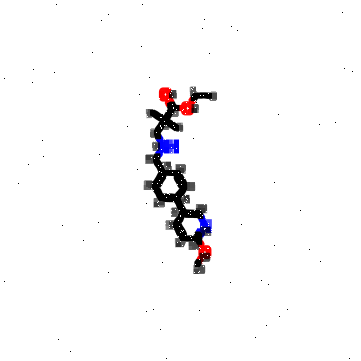 CCOC(=O)C(C)(C)CNCc1ccc(-c2ccc(OC)nc2)cc1